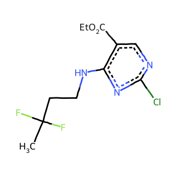 CCOC(=O)c1cnc(Cl)nc1NCCC(C)(F)F